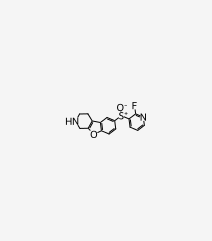 [O-][S+](c1ccc2oc3c(c2c1)CCNC3)c1cccnc1F